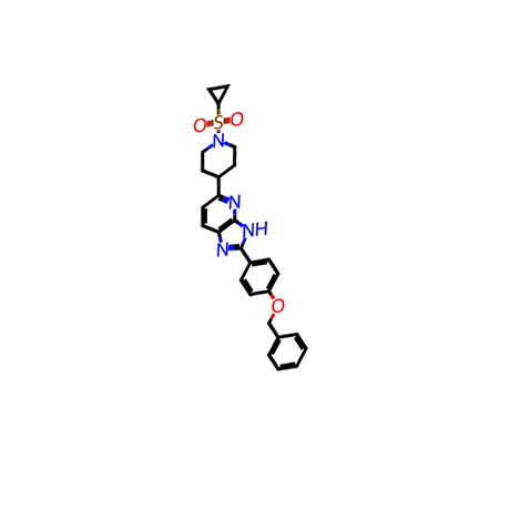 O=S(=O)(C1CC1)N1CCC(c2ccc3nc(-c4ccc(OCc5ccccc5)cc4)[nH]c3n2)CC1